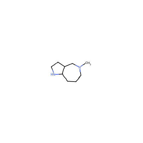 CN1CCCC2NCCC2C1